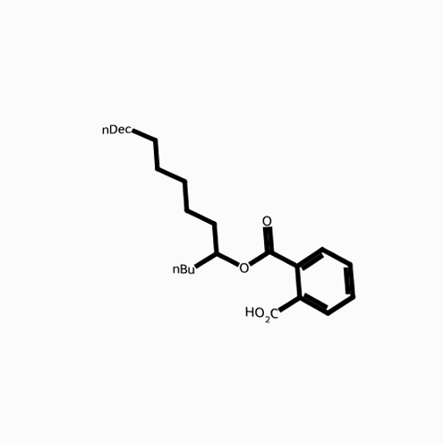 CCCCCCCCCCCCCCCC(CCCC)OC(=O)c1ccccc1C(=O)O